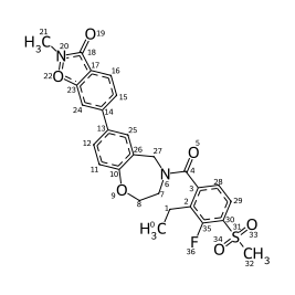 CCc1c(C(=O)N2CCOc3ccc(-c4ccc5c(=O)n(C)oc5c4)cc3C2)ccc(S(C)(=O)=O)c1F